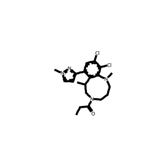 CCC(=O)N1CCCN(C)c2c(Cl)c(Cl)cc(-c3ccn(C)n3)c2C(C)C1